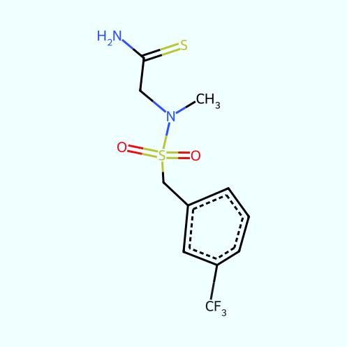 CN(CC(N)=S)S(=O)(=O)Cc1cccc(C(F)(F)F)c1